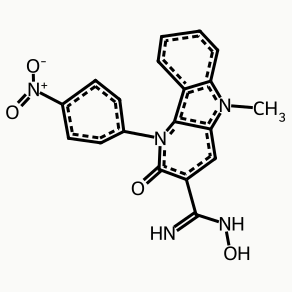 Cn1c2ccccc2c2c1cc(C(=N)NO)c(=O)n2-c1ccc([N+](=O)[O-])cc1